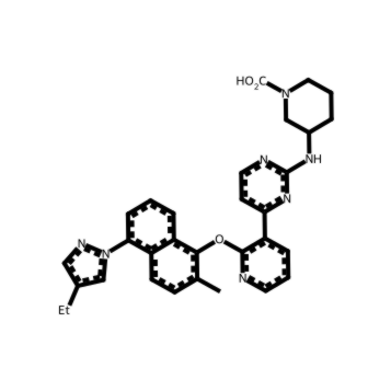 CCc1cnn(-c2cccc3c(Oc4ncccc4-c4ccnc(NC5CCCN(C(=O)O)C5)n4)c(C)ccc23)c1